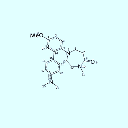 COc1ccc(N2CCC(=O)N(C)CC2)c(-c2ccc(N(C)C)cc2)n1